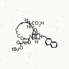 CC(C)(C)OC(=O)N[C@@H]1CCCCC/C=C\[C@@H]2C[C@@]2(C(=O)O)NC(=O)[C@@H]2[C@H]3CN(Cc4ccc5ccccc5c4)C[C@H]3CN2C1=O